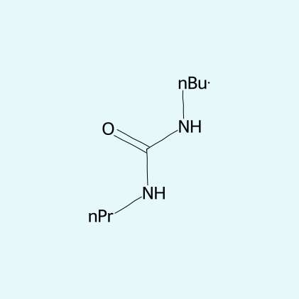 CCC[CH]NC(=O)NCCC